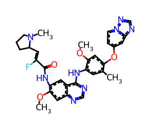 COc1cc2ncnc(Nc3cc(C)c(Oc4ccn5ncnc5c4)cc3OC)c2cc1NC(=O)C(F)=CC1CCCN1C